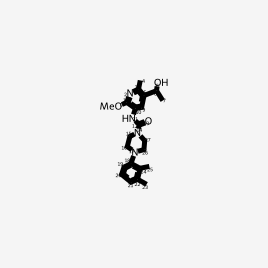 COc1nc(C)c(C(C)O)cc1NC(=O)N1CCN(c2cccc(C)c2C)CC1